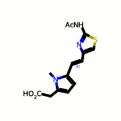 CC(=O)Nc1nc(/C=C/c2ccc(CC(=O)O)n2C)cs1